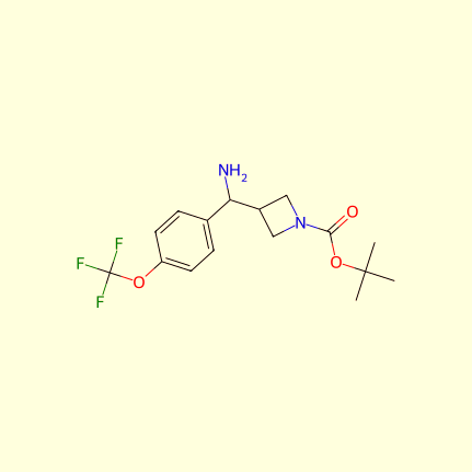 CC(C)(C)OC(=O)N1CC(C(N)c2ccc(OC(F)(F)F)cc2)C1